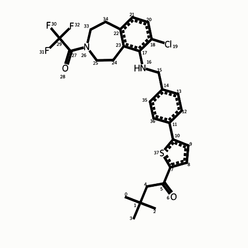 CC(C)(C)CC(=O)c1ccc(-c2ccc(CNc3c(Cl)ccc4c3CCN(C(=O)C(F)(F)F)CC4)cc2)s1